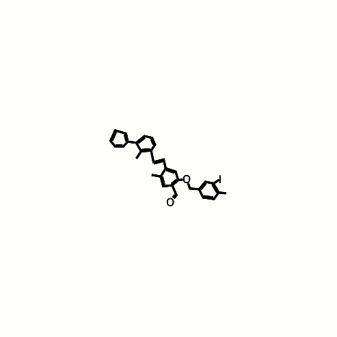 Cc1ccc(COc2cc(/C=C/c3cccc(-c4ccccc4)c3C)c(C)cc2C=O)cc1I